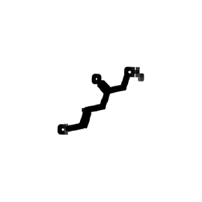 CCC(=O)C[C]=CCl